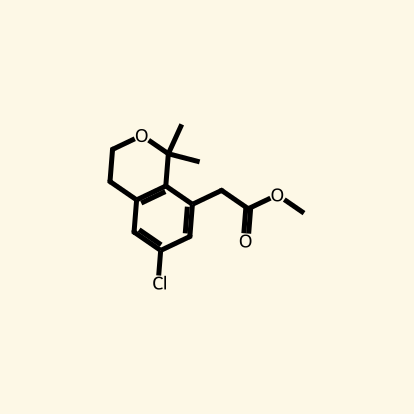 COC(=O)Cc1cc(Cl)cc2c1C(C)(C)OCC2